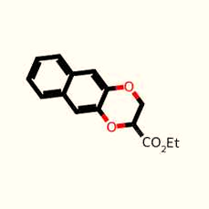 CCOC(=O)C1COc2cc3ccccc3cc2O1